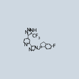 Fc1ccc2c(c1)CC[C@@H]2Cn1cnc(-c2cc(-c3nn[nH]c3C(F)(F)F)ccn2)c1